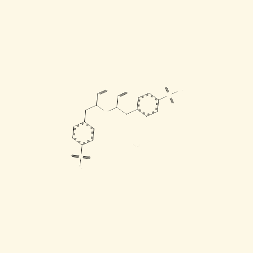 C=CC(Cc1ccc(S(=O)(=O)O)cc1)OC(C=C)Cc1ccc(S(=O)(=O)O)cc1.[NaH]